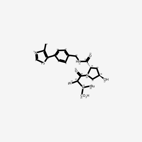 Cc1ncsc1-c1ccc(CNC(=O)[C@@H]2C[C@@H](O)CN2C(=O)C(C(C)C)N(C(=O)O)C(C)(C)C)cc1